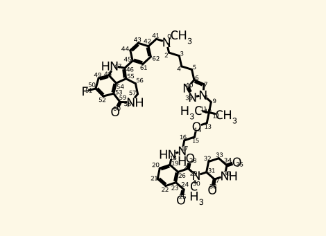 CN(CCCCc1cn(CC(C)(C)COCCNNc2cccc(C=O)c2C(=O)N(C)C2CCC(=O)NC2=O)nn1)Cc1ccc(-c2[nH]c3cc(F)cc4c3c2CCNC4=O)cc1